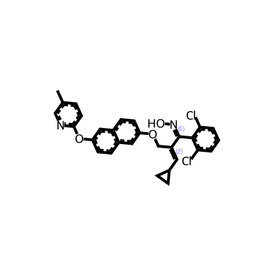 Cc1ccc(Oc2ccc3cc(OCC(=C\C4CC4)/C(=N\O)c4c(Cl)cccc4Cl)ccc3c2)nc1